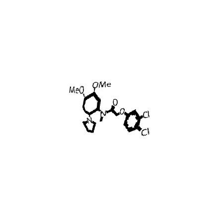 CO[C@H]1C[C@@H](N2CCCC2)[C@H](N(C)C(=O)COc2ccc(Cl)c(Cl)c2)C[C@H]1OC